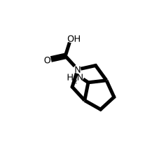 NC1C2CCC1CN(C(=O)O)C2